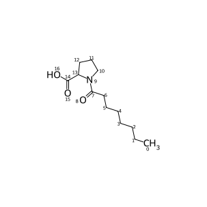 CCCCCCCC(=O)N1CCCC1C(=O)O